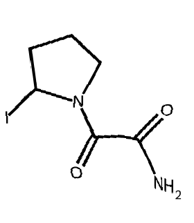 NC(=O)C(=O)N1CCCC1I